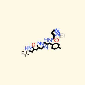 CCn1nccc1C(=O)N[C@H](c1cn2ncc(CC3C[C@@H](C(F)(F)F)NC3=O)cc2n1)C1CCC(C)CC1